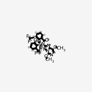 COc1cnc(OC)n2nc(N(C(=O)c3ccccc3)S(=O)(=O)c3c(OCC(F)F)cccc3C(F)(F)F)nc12